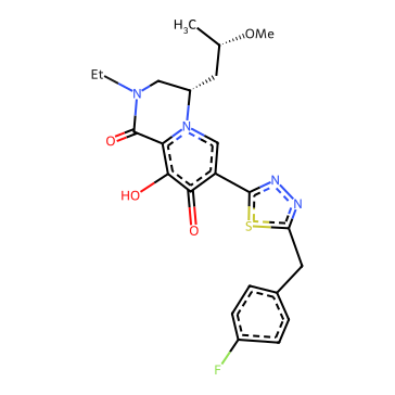 CCN1C[C@H](C[C@H](C)OC)n2cc(-c3nnc(Cc4ccc(F)cc4)s3)c(=O)c(O)c2C1=O